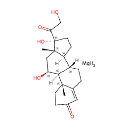 C[C@]12CCC(=O)C=C1CC[C@@H]1[C@@H]2[C@@H](O)C[C@@]2(C)[C@H]1CC[C@]2(O)C(=O)CO.[MgH2]